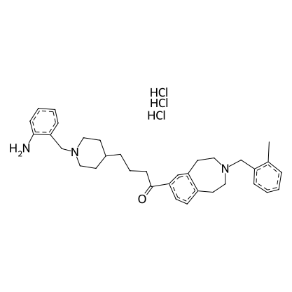 Cc1ccccc1CN1CCc2ccc(C(=O)CCCC3CCN(Cc4ccccc4N)CC3)cc2CC1.Cl.Cl.Cl